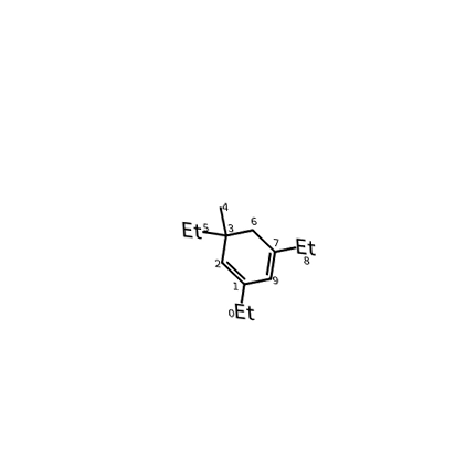 CCC1=CC(C)(CC)CC(CC)=C1